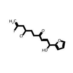 C=C(I)CC(Cl)CCC(=O)C=CC(O)c1ccco1